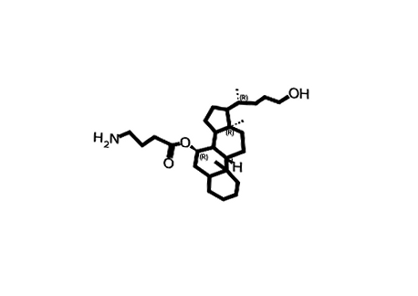 C[C@H](CCCO)C1CCC2C3[C@H](OC(=O)CCCN)CC4CCCCC4(C)[C@H]3CC[C@@]21C